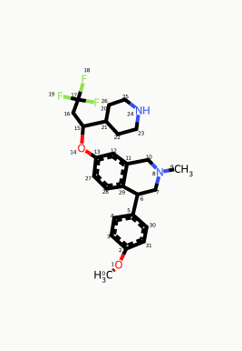 COc1ccc(C2CN(C)Cc3cc(OC(CC(F)(F)F)C4CCNCC4)ccc32)cc1